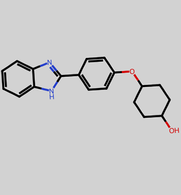 OC1CCC(Oc2ccc(-c3nc4ccccc4[nH]3)cc2)CC1